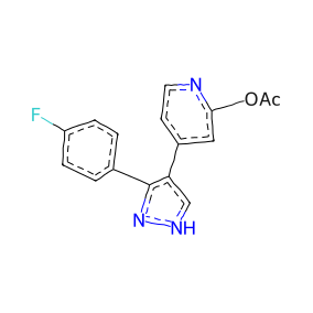 CC(=O)Oc1cc(-c2c[nH]nc2-c2ccc(F)cc2)ccn1